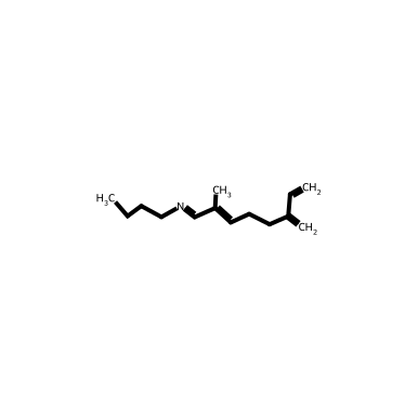 C=CC(=C)CC/C=C(C)/C=N/CCCC